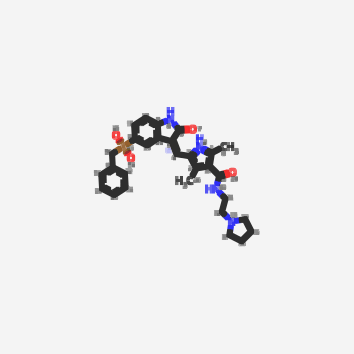 Cc1[nH]c(/C=C2\C(=O)Nc3ccc(S(=O)(=O)Cc4ccccc4)cc32)c(C)c1C(=O)NCCN1CCCC1